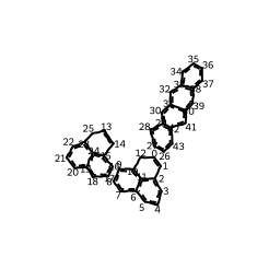 C1=Cc2cccc3cccc(c23)C1.C1=Cc2cccc3cccc(c23)C1.c1ccc2cc3cc4ccccc4cc3cc2c1